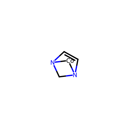 C1=C[N]2C[N]1[Co]2